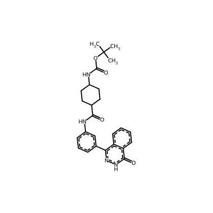 CC(C)(C)OC(=O)NC1CCC(C(=O)Nc2cccc(-c3n[nH]c(=O)c4ccccc34)c2)CC1